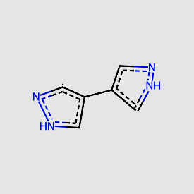 [c]1n[nH]cc1-c1cn[nH]c1